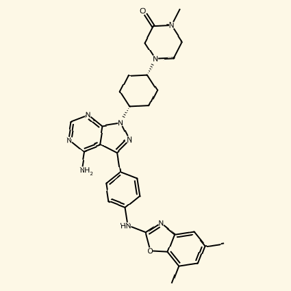 Cc1cc(C)c2oc(Nc3ccc(-c4nn([C@H]5CC[C@@H](N6CCN(C)C(=O)C6)CC5)c5ncnc(N)c45)cc3)nc2c1